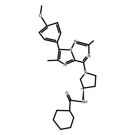 COc1ccc(-c2c(C)nc3c(N4CC[C@@H](NC(=O)C5CCCCC5)C4)nc(C)nn23)cc1